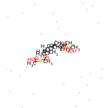 CC(CSSCC(C)C(=O)OC1CC[C@]2(C)C3=C(CC[C@H]2C1(C)C)[C@]1(C)CC[C@H]([C@H](C)CCCC(C)(C)OC(=O)C(C)SSC(C)C(=O)O)[C@@]1(C)CC3)C(=O)O